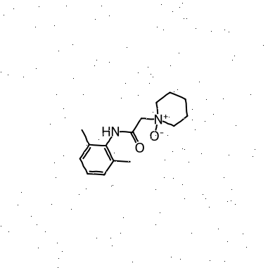 Cc1cccc(C)c1NC(=O)C[N+]1([O-])CCCCC1